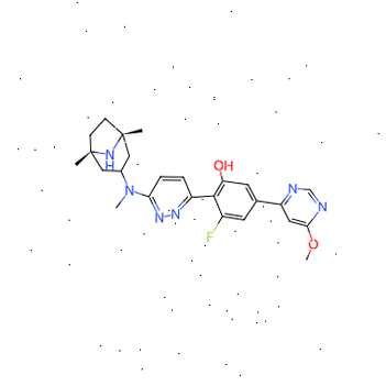 COc1cc(-c2cc(O)c(-c3ccc(N(C)C4C[C@]5(C)CC[C@](C)(C4)N5)nn3)c(F)c2)ncn1